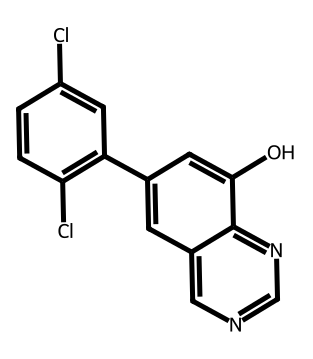 Oc1cc(-c2cc(Cl)ccc2Cl)cc2cncnc12